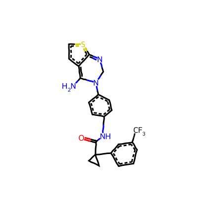 NC1=c2ccsc2=NCN1c1ccc(NC(=O)C2(c3cccc(C(F)(F)F)c3)CC2)cc1